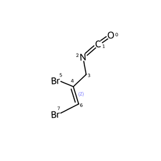 O=C=NC/C(Br)=C/Br